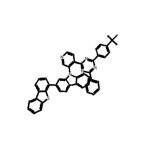 CC(C)(C)c1ccc(-c2nc(-c3ccccc3)nc(-c3ccncc3-n3c4ccccc4c4ccc(-c5cccc6c5sc5ccccc56)cc43)n2)cc1